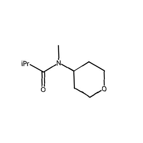 CC(C)C(=O)N(C)C1CCOCC1